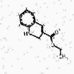 CCOC(=O)C1=Cc2ccccc2NC1